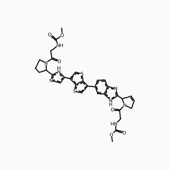 COC(=O)NCC(=O)N1CC=CC1c1nc2ccc(-c3csc4c(-c5cnc(C6CCCN6C(=O)CNC(=O)OC)[nH]5)csc34)cc2[nH]1